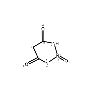 O=C1CC(=O)N[N+](=O)N1